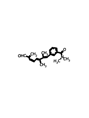 C=C(C=O)\C=C/C=C(C)/C(C)=C/c1cccc(C(=O)N(C)C)c1